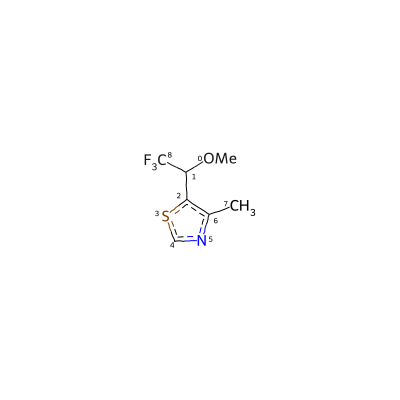 COC(c1scnc1C)C(F)(F)F